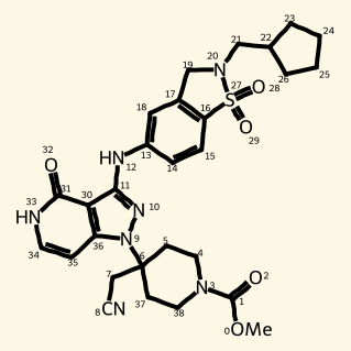 COC(=O)N1CCC(CC#N)(n2nc(Nc3ccc4c(c3)CN(CC3CCCC3)S4(=O)=O)c3c(=O)[nH]ccc32)CC1